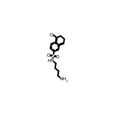 NCCCCNS(=O)(=O)c1ccc2c(c1)=CCCC=2Cl